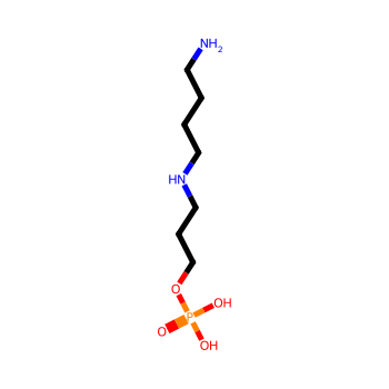 NCCCCNCCCOP(=O)(O)O